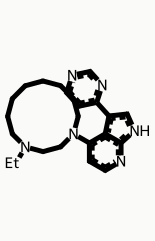 CCN1CCCCCCCCN(c2ccnc3[nH]cc(-c4ccncn4)c23)CC1